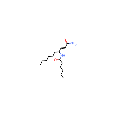 CCCCCCC(/C=C/C(N)=O)NC(=O)CCCCC